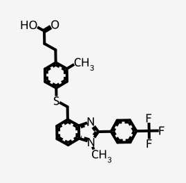 Cc1cc(SCc2cccc3c2nc(-c2ccc(C(F)(F)F)cc2)n3C)ccc1CCC(=O)O